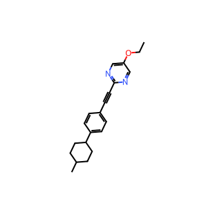 CCOc1cnc(C#Cc2ccc(C3CCC(C)CC3)cc2)nc1